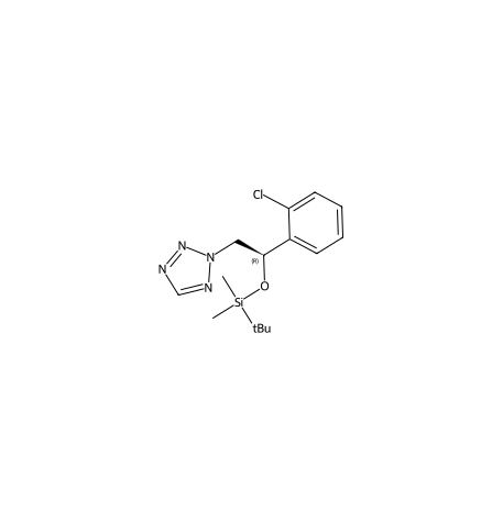 CC(C)(C)[Si](C)(C)O[C@@H](Cn1ncnn1)c1ccccc1Cl